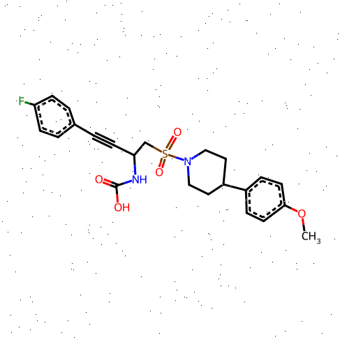 COc1ccc(C2CCN(S(=O)(=O)CC(C#Cc3ccc(F)cc3)NC(=O)O)CC2)cc1